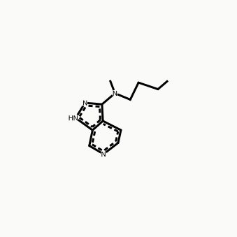 CCCCN(C)c1n[nH]c2cnccc12